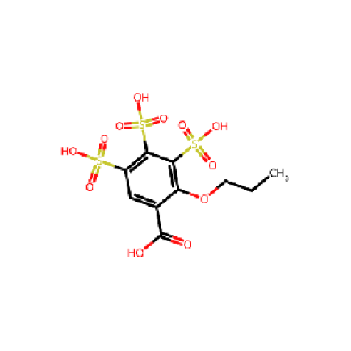 CCCOc1c(C(=O)O)cc(S(=O)(=O)O)c(S(=O)(=O)O)c1S(=O)(=O)O